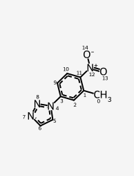 Cc1cc(-n2ccnn2)ccc1[N+](=O)[O-]